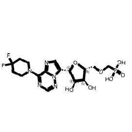 O=P(O)(O)COC[C@H]1O[C@@H](c2cnc3c(N4CCC(F)(F)CC4)ncnn23)[C@H](O)[C@@H]1O